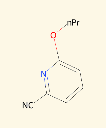 CCCOc1cccc(C#N)n1